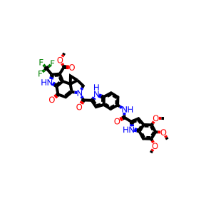 COC(=O)c1c(C(F)(F)F)[nH]c2c1C13CC1CN(C(=O)c1cc4cc(NC(=O)c5cc6c(OC)c(OC)c(OC)cc6[nH]5)ccc4[nH]1)C3=CC2=O